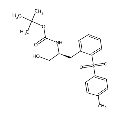 Cc1ccc(S(=O)(=O)c2ccccc2C[C@@H](CO)NC(=O)OC(C)(C)C)cc1